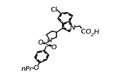 CCCOc1ccc(S(=O)(=O)N2CCC(c3cn(CC(=O)O)c4ccc(Cl)cc34)C2)cc1